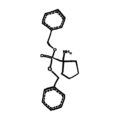 NC1(P(=O)(OCc2ccccc2)OCc2ccccc2)CCCC1